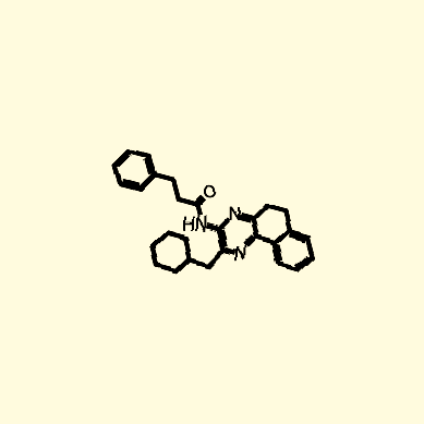 O=C(CCc1ccccc1)Nc1nc2c(nc1CC1CCCCC1)-c1ccccc1CC2